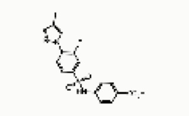 Cc1cnn(-c2ccc(S(=O)(=O)Nc3ccc(C(=O)O)cc3)cc2F)c1